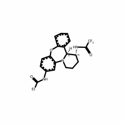 CCC(=O)Nc1ccc2c(c1)N1CCC[C@@H](NC(=O)C(F)(F)F)[C@@H]1c1ccccc1O2